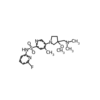 COC1(CN(C)C)CCN(c2cnc(S(=O)(=O)Nc3cccc(F)n3)cc2C)C1